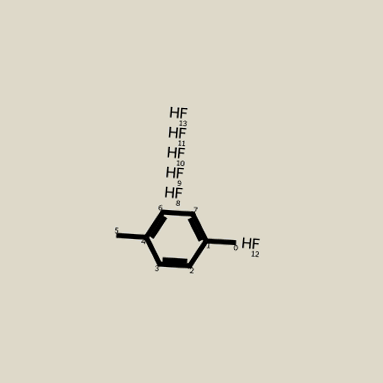 Cc1ccc(C)cc1.F.F.F.F.F.F